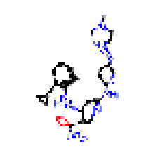 CN1CCN(c2ccc(Nc3cc(Nc4ccccc4C4CC4)c(C(N)=O)cn3)nc2)CC1